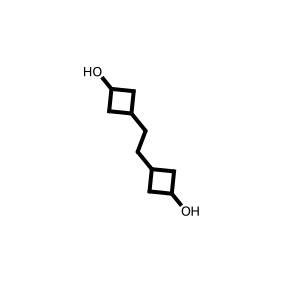 OC1CC(CCC2CC(O)C2)C1